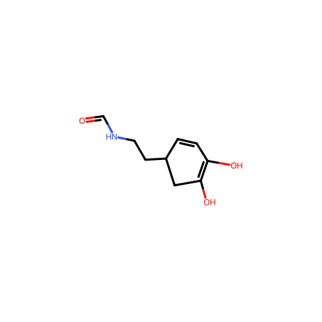 O=CNCCC1C=CC(O)=C(O)C1